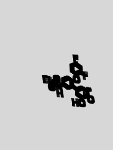 CCS(=O)(=O)Nc1ccc(Oc2ccc(F)cc2F)c(-c2cc(O)c(=O)n(C)c2)c1